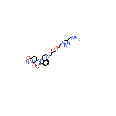 NCc1cn(CCOCC(=O)CN2CCC3c4c(cccc42)C(=O)N3C2CCC(=O)NC2=O)nn1